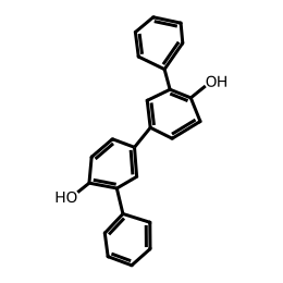 Oc1ccc(-c2ccc(O)c(-c3ccccc3)c2)cc1-c1ccccc1